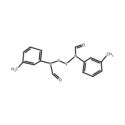 Cc1cccc(N(C=O)SSN(C=O)c2cccc(C)c2)c1